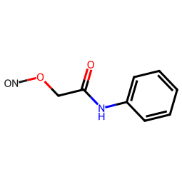 O=NOCC(=O)Nc1ccccc1